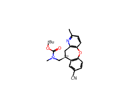 Cc1ccc2c(n1)C[C@H](CN(C)C(=O)OC(C)(C)C)c1cc(C#N)ccc1O2